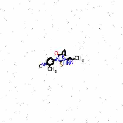 [C-]#[N+]c1ccc(N2C(=O)C3(CCC3)N(c3cc(C)n[nH]3)C2=S)cc1C